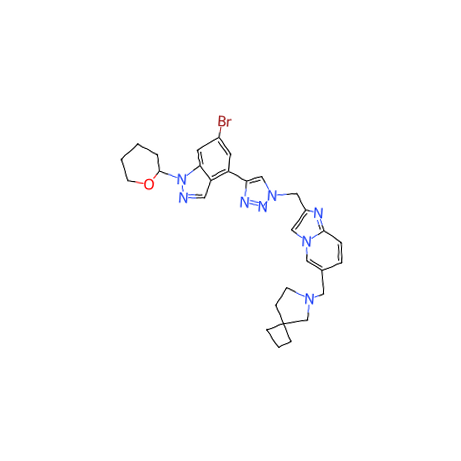 Brc1cc(-c2cn(Cc3cn4cc(CN5CCC6(CCC6)C5)ccc4n3)nn2)c2cnn(C3CCCCO3)c2c1